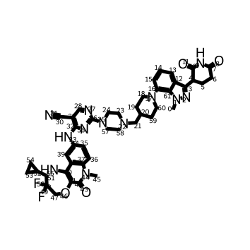 Cn1nc(C2CCC(=O)NC2=O)c2cccc(N3CCC(CN4CCN(c5ncc(C#N)c(Nc6ccc7c(c6)c6c(c(=O)n7C)OCC(F)(F)C(C7CC7)N6)n5)CC4)CC3)c21